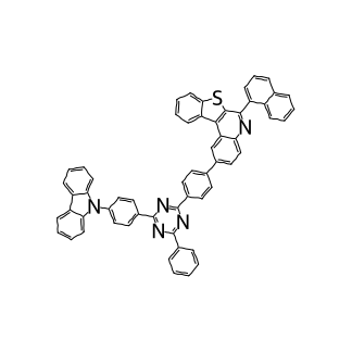 c1ccc(-c2nc(-c3ccc(-c4ccc5nc(-c6cccc7ccccc67)c6sc7ccccc7c6c5c4)cc3)nc(-c3ccc(-n4c5ccccc5c5ccccc54)cc3)n2)cc1